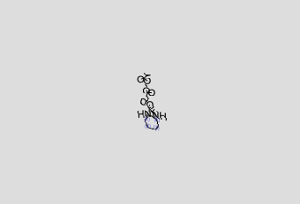 C=C(C)C(=O)OCCOC(=O)CCC(=O)OCC1(C)N/C2=C/C=C\C/C=C\C=C(/C2)N1